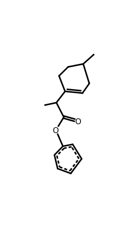 CC1CC=C(C(C)C(=O)Oc2ccccc2)CC1